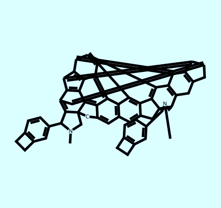 CN1CC23Cc4cc5cc6c7c8c9c%10c%11c%12c%13c(cc(c%14c%15c2c4c2c5c7c4c9c%11c(c%13%14)c%15c24)=C3C1c1ccc2c(c1)CC2)CC=%12CC=%10C1CN(C)C(c2ccc3c(c2)CC3)C81C6